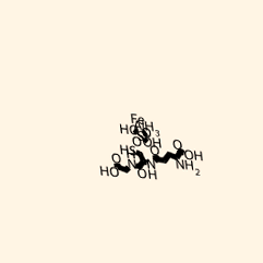 NC(CCC(=O)NC(CS)C(=O)NCC(=O)O)C(=O)O.O=S(=O)(O)O.[AlH3].[Fe]